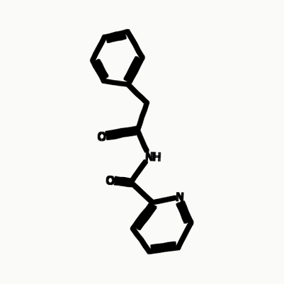 O=C(Cc1ccccc1)NC(=O)c1ccccn1